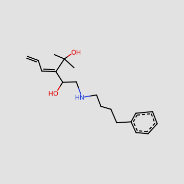 C=C/C=C(/C(O)CNCCCCc1ccccc1)C(C)(C)O